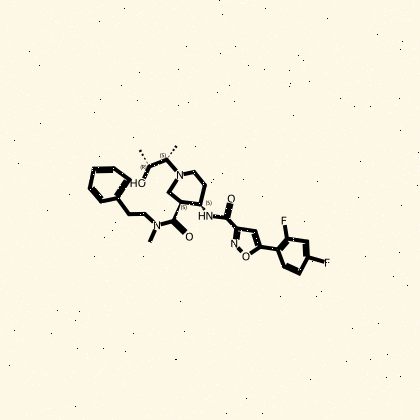 C[C@@H](O)[C@H](C)N1CC[C@H](NC(=O)c2cc(-c3ccc(F)cc3F)on2)[C@@H](C(=O)N(C)CCc2ccccc2)C1